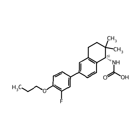 CCCOc1ccc(-c2ccc3c(c2)CCC(C)(C)[C@@H]3NC(=O)O)cc1F